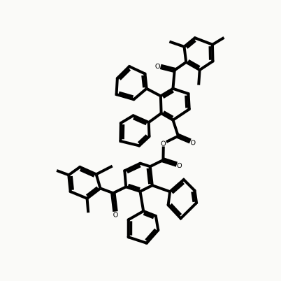 Cc1cc(C)c(C(=O)c2ccc(C(=O)OC(=O)c3ccc(C(=O)c4c(C)cc(C)cc4C)c(-c4ccccc4)c3-c3ccccc3)c(-c3ccccc3)c2-c2ccccc2)c(C)c1